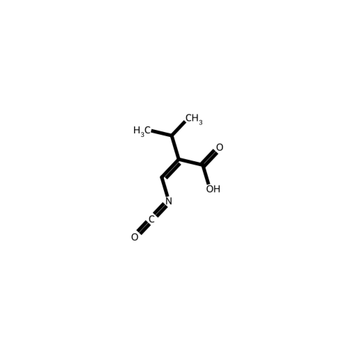 CC(C)C(=CN=C=O)C(=O)O